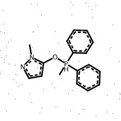 Cn1nccc1O[PH](C)(c1ccccc1)c1ccccc1